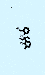 CCC(CC)(Pc1ccccc1CS)c1cccc(C)c1O